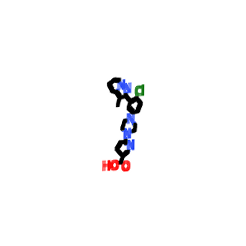 Cc1c(-c2cc(N3CCN(c4ccc(C(=O)O)cn4)CC3)ccc2Cl)nn2ccccc12